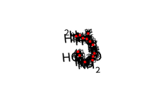 [2H]C1C=CN(c2cnc3c(c2)c(C2CC2)cn3C2CCN(CC3(F)CCN(C(=O)c4ccc(C5CN(c6cc(-c7ccccc7O)nnc6N)CCO5)cc4)CC3)CC2)C([2H])N1